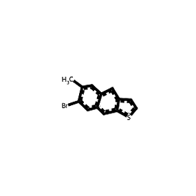 Cc1cc2cc3ccsc3cc2cc1Br